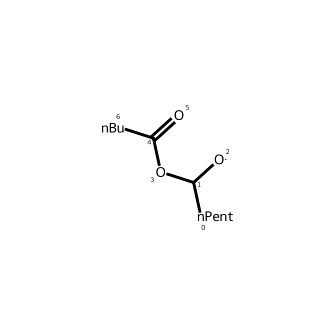 CCCCCC([O])OC(=O)CCCC